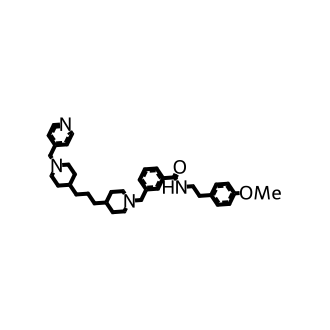 COc1ccc(CCNC(=O)c2cccc(CN3CCC(CCCC4CCN(Cc5ccncc5)CC4)CC3)c2)cc1